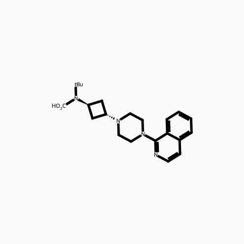 CC(C)(C)N(C(=O)O)[C@H]1C[C@H](N2CCN(c3nccc4ccccc34)CC2)C1